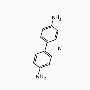 Nc1ccc(-c2ccc(N)cc2)cc1.[N]